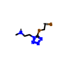 CN(C)CCn1nnnc1SC[C]=S